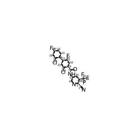 N#Cc1ncc(NC(=O)c2cc(F)c(-c3ccc(F)cc3Cl)cc2Cl)cc1C(F)(F)F